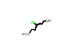 CCCCCCCC(Cl)=CCOC(C)=O